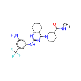 CNC(=O)C1CCCN(c2nc(Nc3cc(N)cc(C(F)(F)F)c3)nc3c2CCCC3)C1